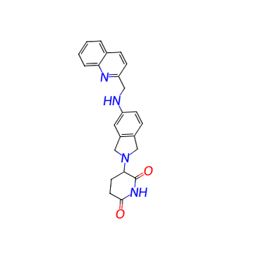 O=C1CCC(N2Cc3ccc(NCc4ccc5ccccc5n4)cc3C2)C(=O)N1